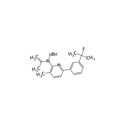 C=C(C)N(CCCC)c1nc(-c2cccc(C(C)(C)F)c2)ccc1C